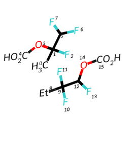 CC(F)(OC(=O)O)C(F)F.CCC(F)(F)C(F)OC(=O)O